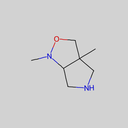 CN1OCC2(C)CNCC12